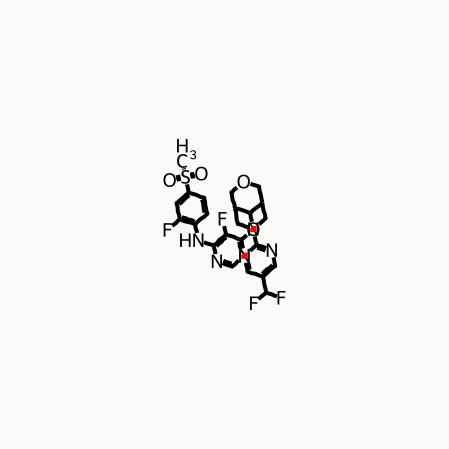 CS(=O)(=O)c1ccc(Nc2ncnc(OC3C4COCC3CN(c3ncc(C(F)F)cn3)C4)c2F)c(F)c1